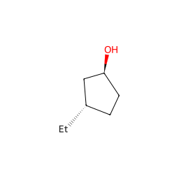 CC[C@H]1CC[C@H](O)C1